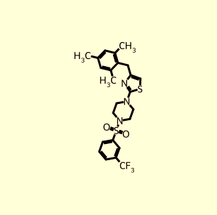 Cc1cc(C)c(Cc2csc(N3CCN(S(=O)(=O)c4cccc(C(F)(F)F)c4)CC3)n2)c(C)c1